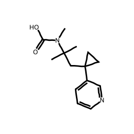 CN(C(=O)O)C(C)(C)CC1(c2cccnc2)CC1